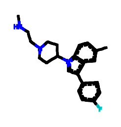 CNCCN1CCC(n2cc(-c3ccc(F)cc3)c3cc(C)ccc32)CC1